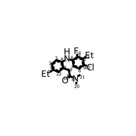 CCc1ccc(Nc2ccc(Cl)c(CC)c2F)c(CC(=O)N(C)C)c1